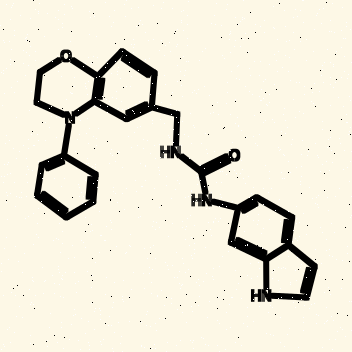 O=C(NCc1ccc2c(c1)N(c1ccccc1)CCO2)Nc1ccc2cc[nH]c2c1